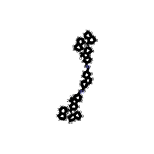 CC1(C)c2cc(/C=C/c3ccc4c(ccc5cc(/C=C/c6ccc7c(c6)C(C)(C)c6cc(N(c8cccc9ccccc89)c8cccc9ccccc89)ccc6-7)ccc54)c3)ccc2-c2ccc(N(c3cccc4ccccc34)c3cccc4ccccc34)cc21